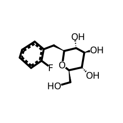 OC[C@H]1O[C@@H](Cc2ccccc2F)[C@H](O)[C@@H](O)[C@@H]1O